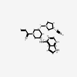 C=CC(=O)N1C[C@H](CN2CC[C@H](C#N)C2)C[C@H](Nc2ncnc3[nH]ccc23)C1